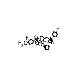 O=C(c1ccccn1)C12Cc3cnn(-c4ccc(F)cc4)c3C=C1CCN(S(=O)(=O)c1ccc(C(F)(F)F)c(F)c1)C2